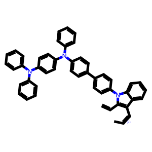 C=Cc1c(/C=C\C)c2ccccc2n1-c1ccc(-c2ccc(N(c3ccccc3)c3ccc(N(c4ccccc4)c4ccccc4)cc3)cc2)cc1